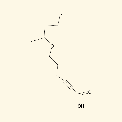 [CH2]CCC(C)OCCCC#CC(=O)O